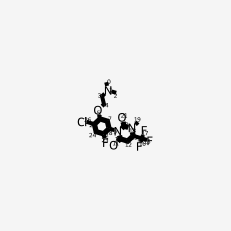 CN(C)CCOc1cc(-n2c(=O)cc(C(F)(F)F)n(C)c2=O)c(F)cc1Cl